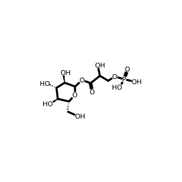 O=C(OC1O[C@H](CO)[C@@H](O)[C@H](O)[C@H]1O)C(O)COP(=O)(O)O